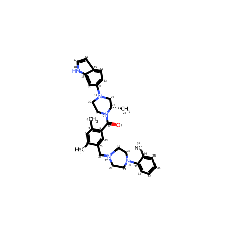 Cc1cc(C)c(C(=O)N2CCN(c3ccc4cc[nH]c4c3)C[C@@H]2C)cc1CN1CCN(c2ccccc2C#N)CC1